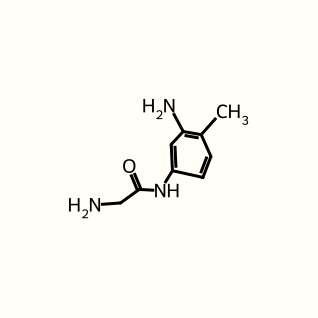 Cc1ccc(NC(=O)CN)cc1N